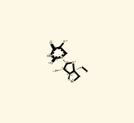 CC[C@@]1(CBr)O[C@@H](n2cc(F)c(=O)[nH]c2=O)[C@@H](F)[C@@H]1C